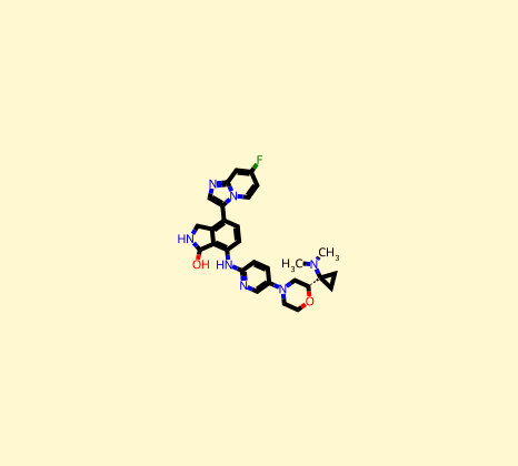 CN(C)C1([C@H]2CN(c3ccc(Nc4ccc(-c5cnc6cc(F)ccn56)c5c4C(O)NC5)nc3)CCO2)CC1